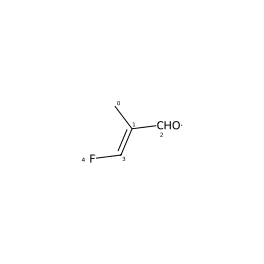 CC([C]=O)=CF